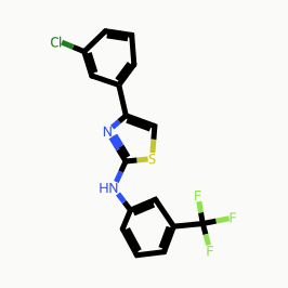 FC(F)(F)c1cccc(Nc2nc(-c3cccc(Cl)c3)cs2)c1